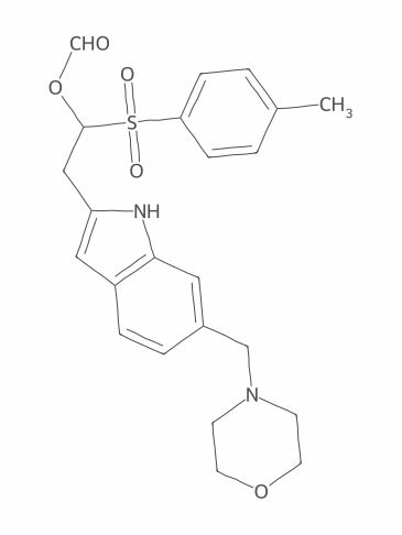 Cc1ccc(S(=O)(=O)C(Cc2cc3ccc(CN4CCOCC4)cc3[nH]2)OC=O)cc1